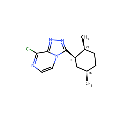 C[C@H]1CC[C@@H](C(F)(F)F)C[C@H]1c1nnc2c(Cl)nccn12